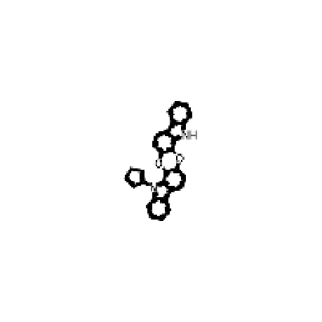 C1=CC(n2c3ccccc3c3ccc4c(c32)Oc2ccc3c([nH]c5ccccc53)c2O4)=CC1